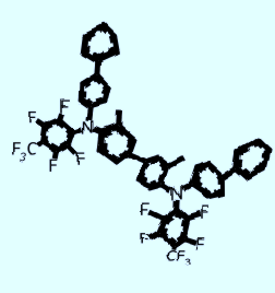 Cc1cc(-c2ccc(N(c3ccc(-c4ccccc4)cc3)c3c(F)c(F)c(C(F)(F)F)c(F)c3F)c(C)c2)ccc1N(c1ccc(-c2ccccc2)cc1)c1c(F)c(F)c(C(F)(F)F)c(F)c1F